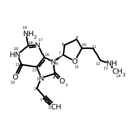 C#CCn1c(=O)n([C@H]2CCC(CCNC)O2)c2nc(N)[nH]c(=O)c21